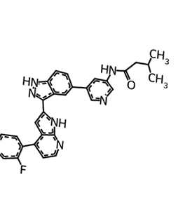 CC(C)CC(=O)Nc1cncc(-c2ccc3[nH]nc(-c4cc5c(-c6ccccc6F)ccnc5[nH]4)c3c2)c1